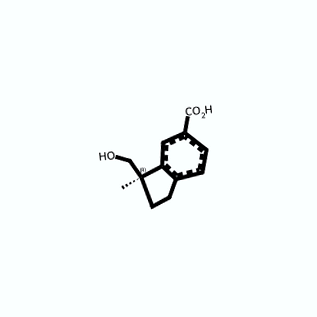 C[C@@]1(CO)CCc2ccc(C(=O)O)cc21